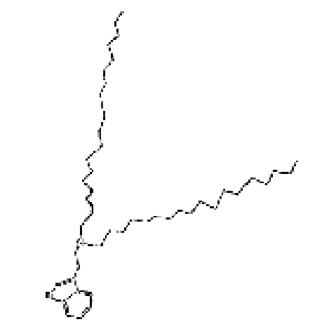 CCCCCCCCCCCCCCCCCCN(CCCCCCCCCCCCCCCCCC)CCc1c[nH]c2ccccc12